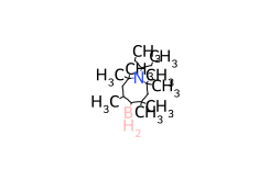 BC1C(C)CC(C)(C)N(C(CC)CC)C(C)(C)CC1(C)C